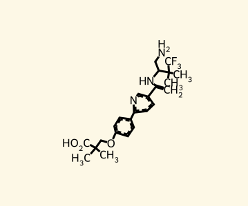 C=C(NC(CN)C(C)(C)C(F)(F)F)c1ccc(-c2ccc(OCC(C)(C)C(=O)O)cc2)nc1